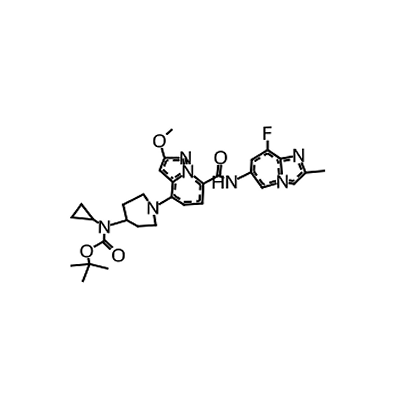 COc1cc2c(N3CCC(N(C(=O)OC(C)(C)C)C4CC4)CC3)ccc(C(=O)Nc3cc(F)c4nc(C)cn4c3)n2n1